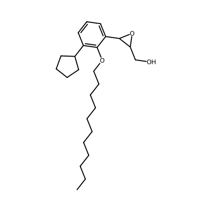 CCCCCCCCCCCOc1c(C2CCCC2)cccc1C1OC1CO